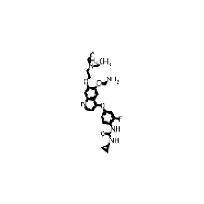 CCN(CC)CCOc1cc2nccc(Oc3ccc(NC(=O)NC4CC4)c(F)c3)c2cc1OCN